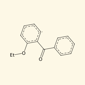 CCOc1ccc[c]c1C(=O)c1ccccc1